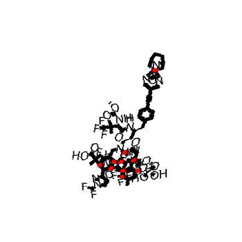 COC(=O)N[C@H](C(=O)N[C@@H](Cc1ccc(C#Cc2cnc(N3CC4CCC(C3)N4C3COC3)nc2)cc1)[C@H](CN(Cc1c(F)cc(-c2ccn(C(F)F)n2)cc1F)NC(=O)[C@@H](NC(=O)OC)C(C)(C)C(F)(F)F)OC(=O)CC(C)(C)c1c(CC(=O)NCC(C)(C)C(=O)O)cc(C)cc1OP(=O)(O)O)C(C)(C)C(F)(F)F